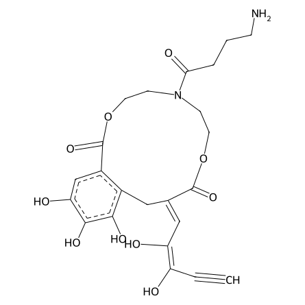 C#C/C(O)=C(O)\C=C1/Cc2c(cc(O)c(O)c2O)C(=O)OCCN(C(=O)CCCN)CCOC1=O